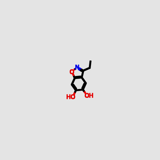 CCc1noc2cc(O)c(O)cc12